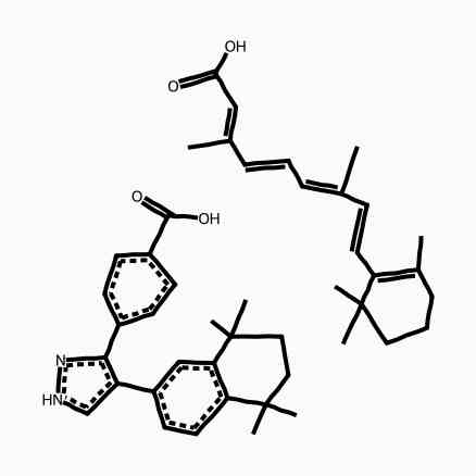 CC(C=CC1=C(C)CCCC1(C)C)=CC=CC(C)=CC(=O)O.CC1(C)CCC(C)(C)c2cc(-c3c[nH]nc3-c3ccc(C(=O)O)cc3)ccc21